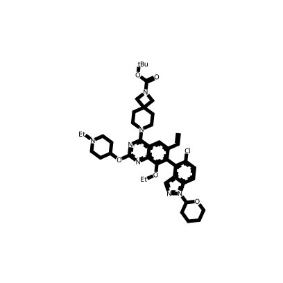 C=Cc1cc2c(N3CCC4(CC3)CN(C(=O)OC(C)(C)C)C4)nc(OC3CCN(CC)CC3)nc2c(OCC)c1-c1c(Cl)ccc2c1cnn2C1CCCCO1